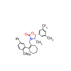 COc1ccc(C(C)C)cc1C1=C(CN2C(=O)O[C@H](c3cc(C)cc(C(F)(F)F)c3)[C@@H]2C)CCCCC1